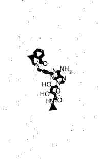 Nc1nc(C#CCN(CC2CC2)C(=O)c2ccccc2)nc2c1ncn2C1OC(C(=O)NC2CC2)[C@@H](O)[C@H]1O